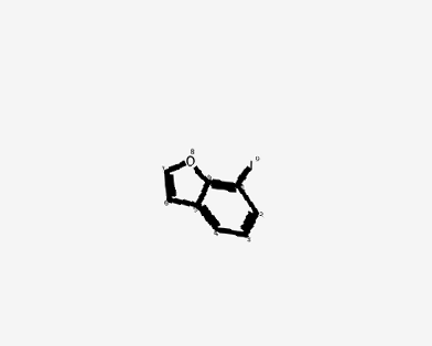 Ic1cccc2ccoc12